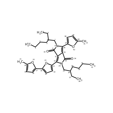 CCCCC(CC)CN1C(=O)C2=C(c3ccc(-c4ccc(C)o4)o3)N(CC(CC)CCCC)C(=O)C2=C1c1ccc(C)o1